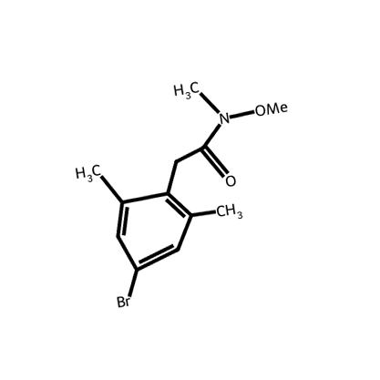 CON(C)C(=O)Cc1c(C)cc(Br)cc1C